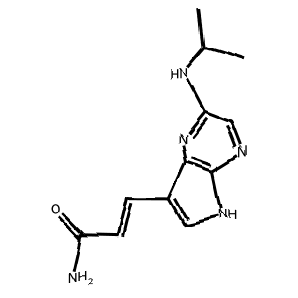 CC(C)Nc1cnc2[nH]cc(/C=C/C(N)=O)c2n1